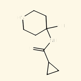 CC1(NC(=O)C2CC2)CCNCC1